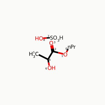 CCCOC(=O)C(C)O.O=S(=O)(O)O